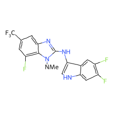 CNn1c(Nc2c[nH]c3cc(F)c(F)cc23)nc2cc(C(F)(F)F)cc(F)c21